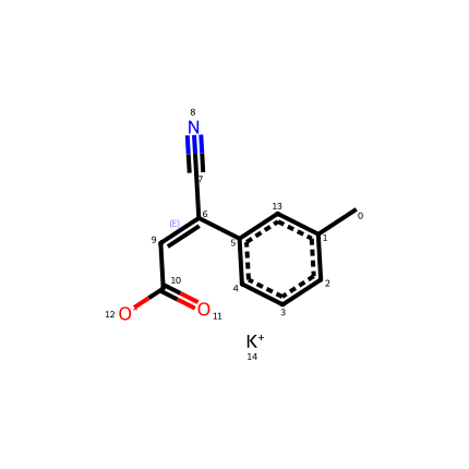 Cc1cccc(/C(C#N)=C\C(=O)[O-])c1.[K+]